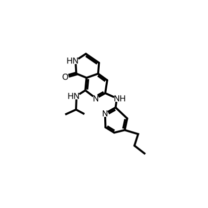 CCCc1ccnc(Nc2cc3cc[nH]c(=O)c3c(NC(C)C)n2)c1